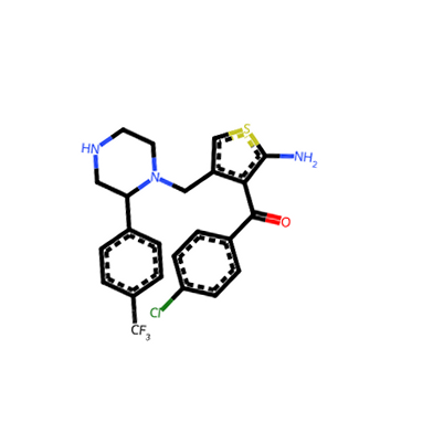 Nc1scc(CN2CCNCC2c2ccc(C(F)(F)F)cc2)c1C(=O)c1ccc(Cl)cc1